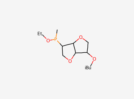 CCOP(C)C1COC2C(OC(C)CC)COC21